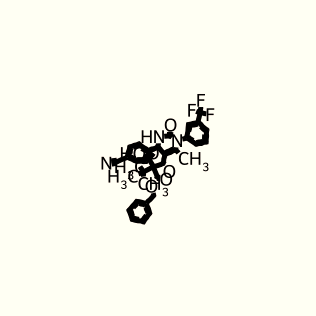 CC1=C(C(=O)C(C(=O)O)(C(=O)OCc2ccccc2)C(C)(C)C)C(c2ccc(C#N)cc2)NC(=O)N1c1cccc(C(F)(F)F)c1